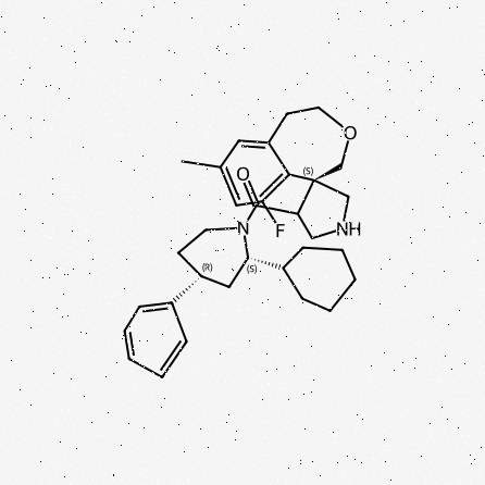 Cc1cc(F)c2c(c1)CCOC[C@]21CNCC1C(=O)N1CC[C@@H](c2ccccc2)C[C@H]1C1CCCCC1